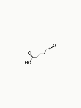 O=PCCCCC(=O)O